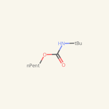 CCCCCOC(=O)NC(C)(C)C